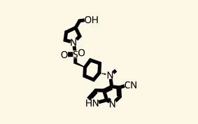 CN(c1c(C#N)cnc2[nH]ccc12)[C@H]1CC[C@H](CS(=O)(=O)N2CCC(CO)C2)CC1